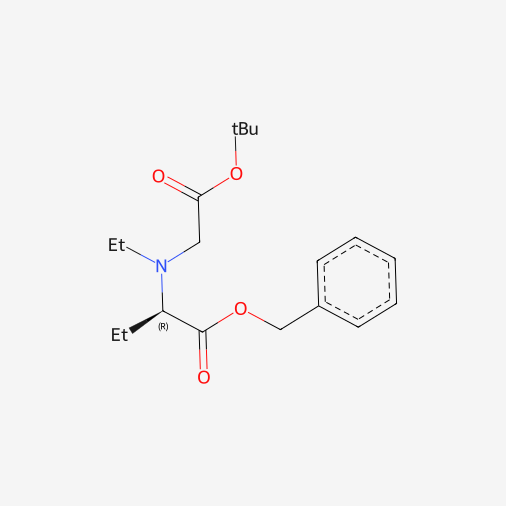 CC[C@H](C(=O)OCc1ccccc1)N(CC)CC(=O)OC(C)(C)C